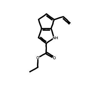 C=CC1=CCc2cc(C(=O)OCC)[nH]c21